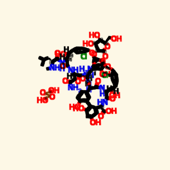 CN[C@H](CC(C)C)C(=O)N[C@H]1C(=O)N[C@@H](CC(N)=O)C(=O)N[C@H]2C(=O)N[C@H]3C(=O)N[C@H](C(=O)N[C@@H](C(=O)O)c4cc(O)cc(O)c4-c4cc3ccc4O)[C@H](O)c3ccc(c(Cl)c3)Oc3cc2cc(c3O[C@@H]2O[C@H](CO)[C@@H](O)[C@H](O)[C@H]2O[C@H]2C[C@](C)(N)C(O)[C@H](C)O2)Oc2ccc(cc2Cl)[C@H]1O.O=S(=O)(O)O